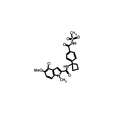 COc1ccc2c(cc(C(=O)NC3(c4ccc(C(=O)NS(C)(=O)=O)cc4)CCC3)n2C)c1Cl